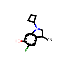 N#CC1CN(C2CCC2)c2cc(O)c(F)cc21